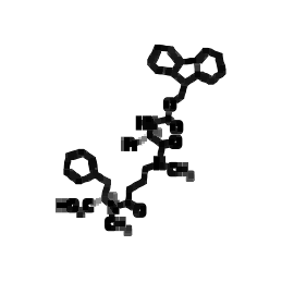 CC(C)[C@H](NC(=O)OCC1c2ccccc2-c2ccccc21)C(=O)N(C)CCCC(=O)N(C)[C@@H](Cc1ccccc1)C(=O)O